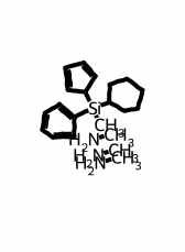 CN.CN.CN.C[Si]([C]1C=CC=C1)(c1ccccc1)C1CCCCC1